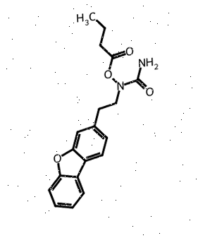 CCCC(=O)ON(CCc1ccc2c(c1)oc1ccccc12)C(N)=O